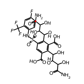 NC(=O)C(O)C(O)C(O)c1c(C(=O)O)cc(S(=O)(=O)Nc2ccc(F)cc2C(F)(F)F)c(C(O)C(O)C(O)C(N)=O)c1C(=O)O